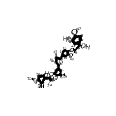 COc1ccc([C@@H](O)[C@@H](C)Oc2ccc(C3OC(c4ccc(O[C@H](C)[C@H](O)c5ccc(OC)c(O)c5)c(OC)c4)[C@H](C)[C@H]3C)cc2OC)cc1O